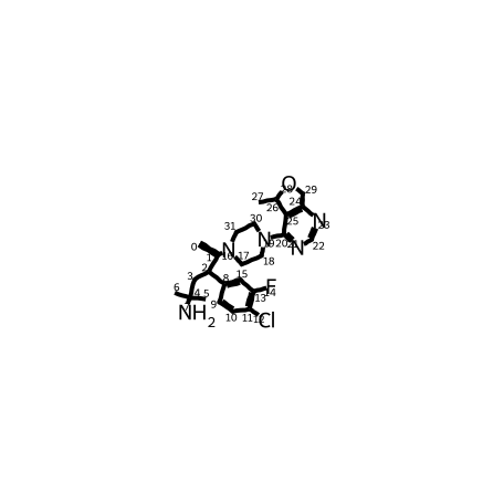 C=C(C(CC(C)(C)N)c1ccc(Cl)c(F)c1)N1CCN(c2ncnc3c2C(C)OC3)CC1